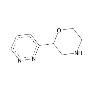 [c]1ccc(C2CNCCO2)nn1